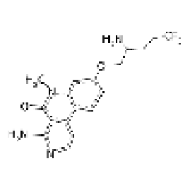 Cn1c(=O)c2c(N)nccc2c2ccc(OCC(N)CCC(F)(F)F)cc21